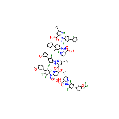 COc1cccc(-c2c(F)c(F)c(Nc3ncccc3C(=O)O)c(F)c2F)c1.COc1cccc(-c2cc(F)c(Nc3ncc(C4CC4)cc3C(=O)O)cc2F)c1.Cc1c(-c2ccccc2)cc(F)c(Nc2ncccc2C(=O)O)c1F.O=C(O)c1cc(C2CC2)cnc1Nc1c(F)cc(-c2cccc(OC(F)(F)F)c2)cc1F.O=C(O)c1cc(C2CC2)cnc1Nc1c(F)cc(-c2ccccc2Cl)cc1F